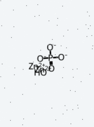 O=P([O-])([O-])[O-].[OH-].[Zn+2].[Zn+2]